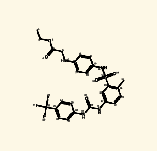 CCOC(=O)CNc1ccc(NS(=O)(=O)c2cc(NC(=O)Nc3ccc(C(F)(F)F)cc3)ccc2C)cc1